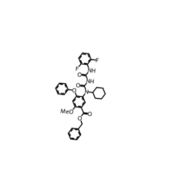 COc1cc(Oc2ccccc2)c(N(C(=O)NC(=O)Nc2c(F)cccc2F)C2CCCCC2)cc1C(=O)OCc1ccccc1